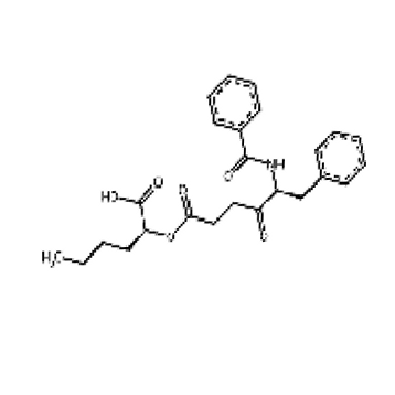 CCCC[C@H](OC(=O)CCC(=O)[C@H](Cc1ccccc1)NC(=O)c1ccccc1)C(=O)O